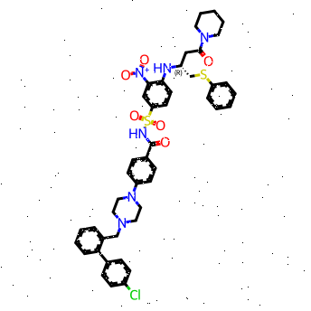 O=C(NS(=O)(=O)c1ccc(N[C@@H](CSc2ccccc2)CC(=O)N2CCCCC2)c([N+](=O)[O-])c1)c1ccc(N2CCN(Cc3ccccc3-c3ccc(Cl)cc3)CC2)cc1